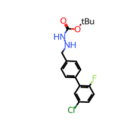 CC(C)(C)OC(=O)NNCc1ccc(-c2cc(Cl)ccc2F)cc1